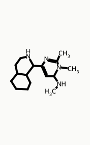 CNC1C=C(C2NCCC3CCCCC32)N=C(C)N1C